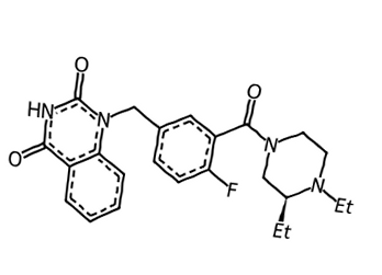 CC[C@H]1CN(C(=O)c2cc(Cn3c(=O)[nH]c(=O)c4ccccc43)ccc2F)CCN1CC